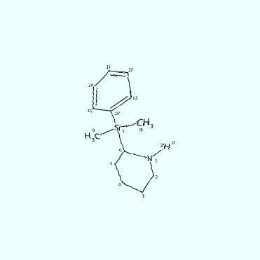 [2H]N1CCCCC1[Si](C)(C)c1ccccc1